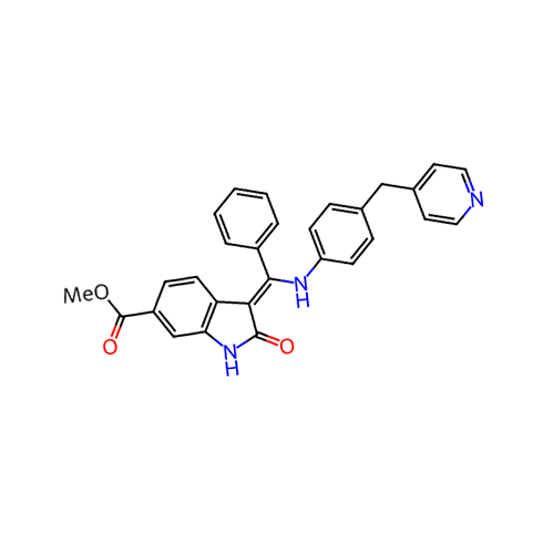 COC(=O)c1ccc2c(c1)NC(=O)/C2=C(\Nc1ccc(Cc2ccncc2)cc1)c1ccccc1